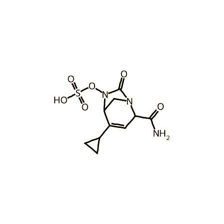 NC(=O)C1C=C(C2CC2)C2CN1C(=O)N2OS(=O)(=O)O